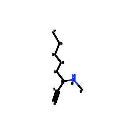 [C]#CC(CCCCC)NC